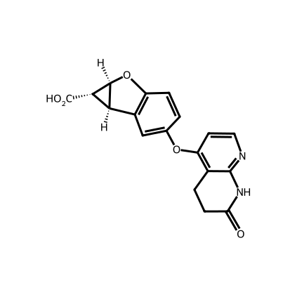 O=C1CCc2c(Oc3ccc4c(c3)[C@@H]3[C@H](O4)[C@H]3C(=O)O)ccnc2N1